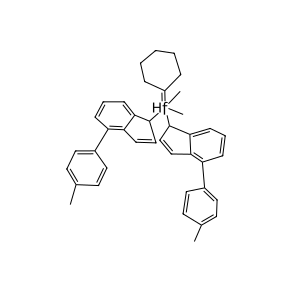 Cc1ccc(-c2cccc3c2C=C[CH]3[Hf]([CH3])([CH3])(=[C]2CCCCC2)[CH]2C=Cc3c(-c4ccc(C)cc4)cccc32)cc1